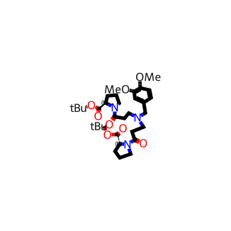 COc1ccc(CN(CCC(=O)N2CCC[C@@H]2C(=O)OC(C)(C)C)CCC(=O)N2CCC[C@@H]2C(=O)OC(C)(C)C)cc1OC